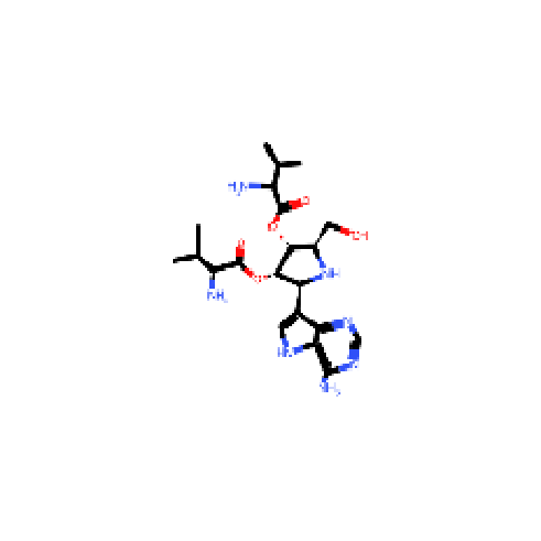 CC(C)C(N)C(=O)O[C@H]1[C@@H](OC(=O)[C@@H](N)C(C)C)[C@H](c2c[nH]c3c(N)ncnc23)N[C@@H]1CO